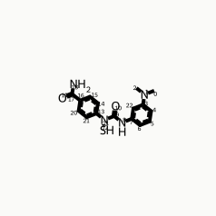 CN(C)c1cccc(NC(=O)N(S)c2ccc(C(N)=O)cc2)c1